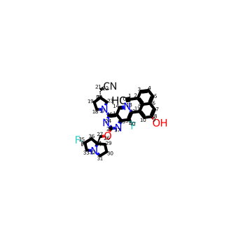 C#Cc1cccc2cc(O)cc(-c3ncc4c(N5CC[C@H](CC#N)C5)nc(OC[C@@]56CCCN5C[C@H](F)C6)nc4c3F)c12